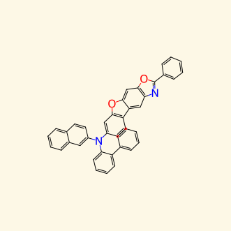 c1ccc(-c2nc3cc4c(cc3o2)oc2cc(N(c3ccc5ccccc5c3)c3ccccc3-c3ccccc3)ccc24)cc1